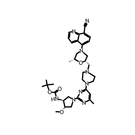 CO[C@H]1CN(c2nc(C)cc(N3CCN(C[C@H]4CN(c5ccc(C#N)c6ncccc56)C[C@@H](C)O4)CC3)n2)C[C@@H]1NC(=O)OC(C)(C)C